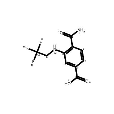 NC(=O)c1ccc(C(=O)O)cc1NCC(F)(F)F